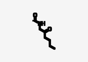 CCCCC(=O)CN[C]=O